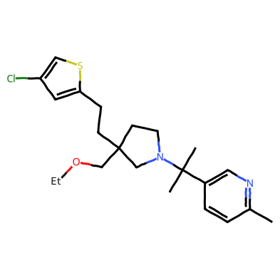 CCOCC1(CCc2cc(Cl)cs2)CCN(C(C)(C)c2ccc(C)nc2)C1